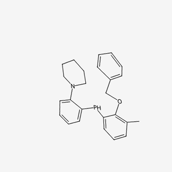 Cc1cccc(Pc2ccccc2N2CCCCC2)c1OCc1ccccc1